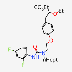 CCCCCCCN(CCOc1ccc(C[C@H](OCC)C(=O)OCC)cc1)C(=O)Nc1ccc(F)cc1F